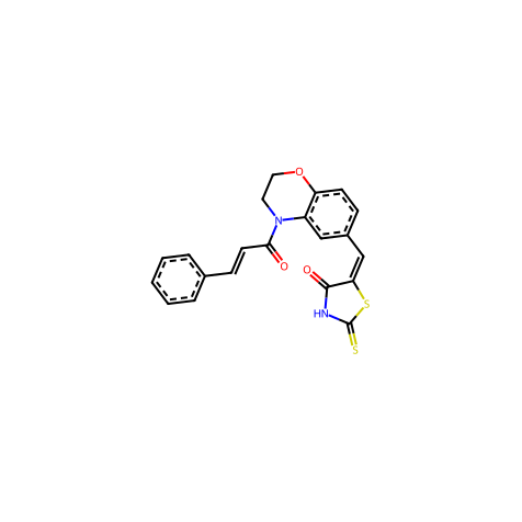 O=C1NC(=S)SC1=Cc1ccc2c(c1)N(C(=O)C=Cc1ccccc1)CCO2